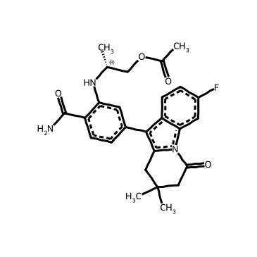 CC(=O)OC[C@@H](C)Nc1cc(-c2c3n(c4cc(F)ccc24)C(=O)CC(C)(C)C3)ccc1C(N)=O